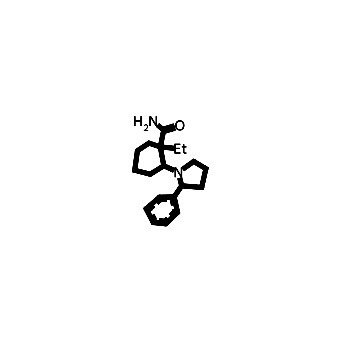 CCC1(C(N)=O)CCCCC1N1CCCC1c1ccccc1